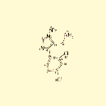 CCCn1cnc(-c2ccc(Cl)cc2Cl)c1CN